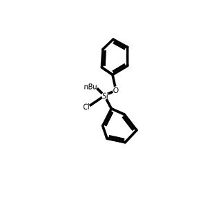 CCCC[Si](Cl)(Oc1ccccc1)c1ccccc1